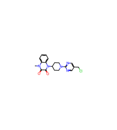 Cn1c(=O)c(=O)n(C2CCN(c3ncc(CCl)cn3)CC2)c2ccccc21